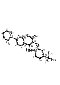 Cc1cccnc1-c1ccc2c3c(c(C)nc2n1)Oc1cc(C(F)(F)F)ccc1N3